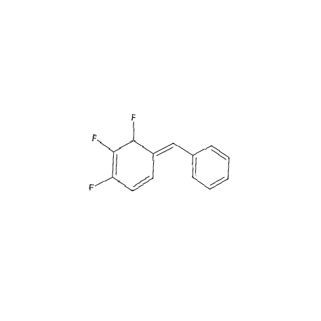 FC1=C(F)C(F)C(=Cc2ccccc2)C=C1